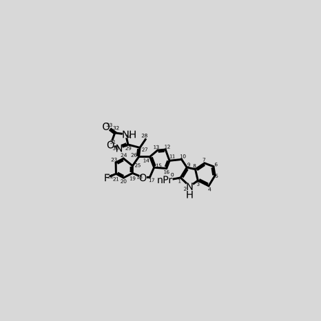 CCCc1[nH]c2ccccc2c1Cc1ccc2c(c1)COc1cc(F)ccc1C2=C(C)c1noc(=O)[nH]1